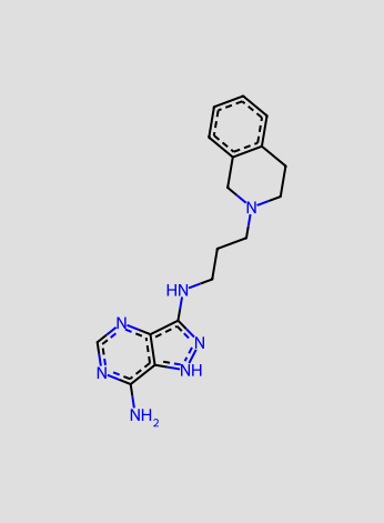 Nc1ncnc2c(NCCCN3CCc4ccccc4C3)n[nH]c12